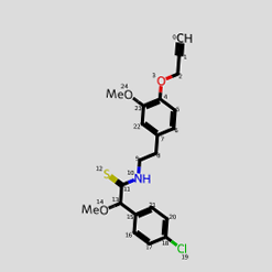 C#CCOc1ccc(CCNC(=S)C(OC)c2ccc(Cl)cc2)cc1OC